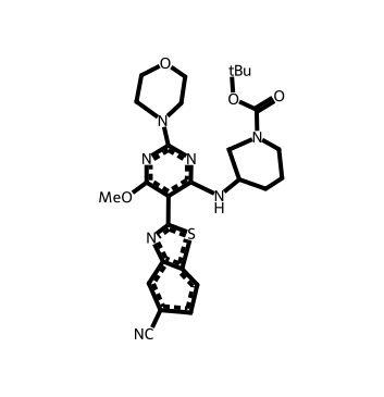 COc1nc(N2CCOCC2)nc(NC2CCCN(C(=O)OC(C)(C)C)C2)c1-c1nc2cc(C#N)ccc2s1